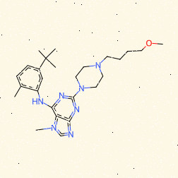 COCCCCN1CCN(c2nc(Nc3cc(C(C)(C)C)ccc3C)c3c(ncn3C)n2)CC1